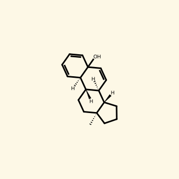 C[C@@]12CCC[C@H]1[C@@H]1C=CC3(O)C=CC=C[C@@H]3[C@H]1CC2